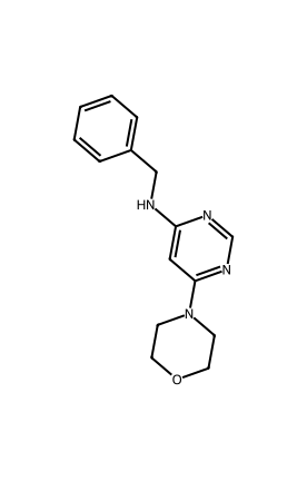 c1ccc(CNc2cc(N3CCOCC3)ncn2)cc1